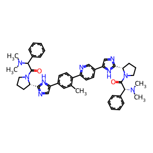 Cc1cc(-c2cnc([C@@H]3CCCN3C(=O)C(c3ccccc3)N(C)C)[nH]2)ccc1-c1ccc(-c2cnc([C@@H]3CCCN3C(=O)[C@@H](c3ccccc3)N(C)C)[nH]2)cn1